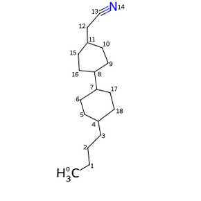 CCCCC1CCC(C2CCC(CC#N)CC2)CC1